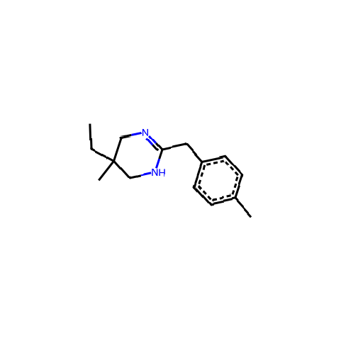 CCC1(C)CN=C(Cc2ccc(C)cc2)NC1